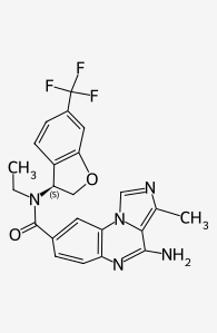 CCN(C(=O)c1ccc2nc(N)c3c(C)ncn3c2c1)[C@@H]1COc2cc(C(F)(F)F)ccc21